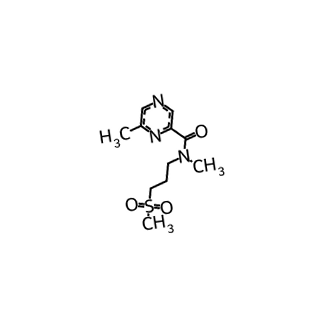 Cc1cncc(C(=O)N(C)CCCS(C)(=O)=O)n1